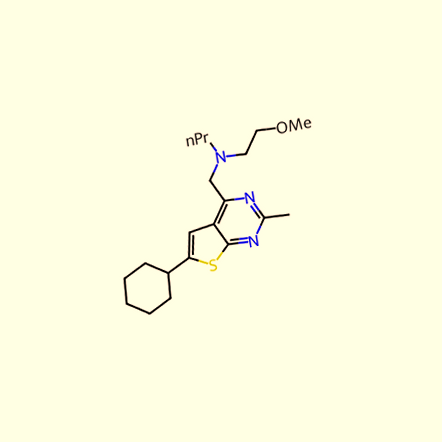 CCCN(CCOC)Cc1nc(C)nc2sc(C3CCCCC3)cc12